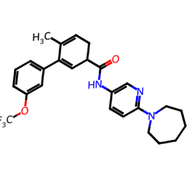 CC1=CCC(C(=O)Nc2ccc(N3CCCCCC3)nc2)C=C1c1cccc(OC(F)(F)F)c1